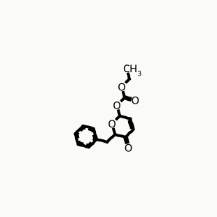 CCOC(=O)OC1C=CC(=O)C(Cc2ccccc2)O1